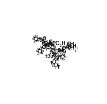 CC(C)(C)[C@H](c1cc(-c2cc(F)ccc2F)cn1Cc1ccccc1)N(CCCNC(=O)OCC[Si](C)(C)C)C(=O)CC(S)CC(NC(=O)[C@H](CCC(=O)OCc1ccccc1)NC(=O)OCc1ccccc1)C(=O)O